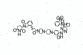 COc1cc(N2CCC(N3CCN(C(=O)CSc4cccc5c4CN(C4CCC(=O)NC4=O)C5=O)CC3)CC2)ccc1Nc1ncc(Cl)c(Nc2ccccc2P(=O)(OC)OC)n1